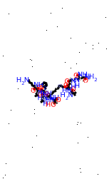 CC(C)C[C@H](NC(=O)[C@@](C)(CCCCCC/C=C\CCC[C@](C)(NC(=O)[C@@H](N)C(C)C)C(=O)CC(=O)[C@H](C)NCN[C@@H](CCC(N)=O)C(N)=O)NN[C@H](C=O)[C@@H](C)O)C(=O)N[C@@H](Cc1ccccc1)C(=O)N[C@@H](CC(C)C)C(=O)C(=O)[C@@H](N)CCCCN